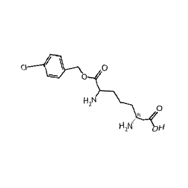 NC(CCC[C@@H](N)C(=O)O)C(=O)OCc1ccc(Cl)cc1